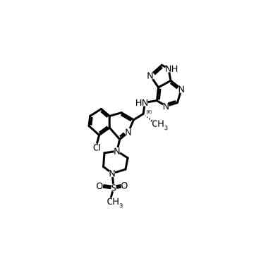 C[C@@H](Nc1ncnc2[nH]cnc12)c1cc2cccc(Cl)c2c(N2CCN(S(C)(=O)=O)CC2)n1